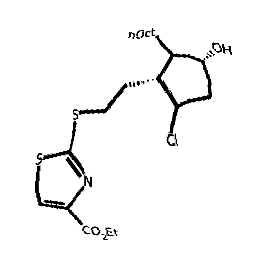 CCCCCCCCC1[C@@H](CCSc2nc(C(=O)OCC)cs2)C(Cl)C[C@H]1O